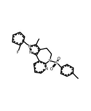 Cc1ccc(S(=O)(=O)N2CCc3c(nn(-c4ccccc4F)c3C)-c3cccnc32)cc1